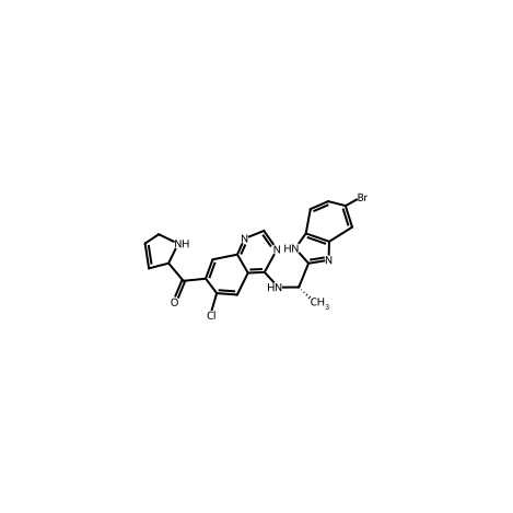 C[C@H](Nc1ncnc2cc(C(=O)C3C=CCN3)c(Cl)cc12)c1nc2cc(Br)ccc2[nH]1